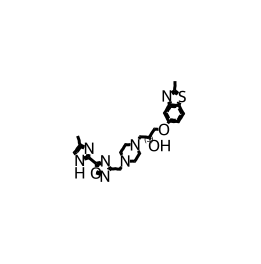 Cc1c[nH]c(-c2nc(CN3CCN(C[C@H](O)COc4ccc5sc(C)nc5c4)CC3)no2)n1